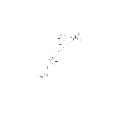 CC(=O)N([C@@H](CC(=O)O)C(=O)N[C@@H](CCCNC(=N)N)C(=O)N(CC(=O)O)C(=O)C(C)C)N1C(=O)N[C@@H](CCCNC(=N)N)C1=O